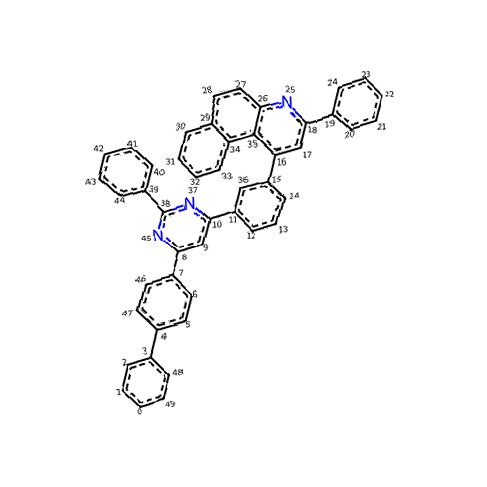 c1ccc(-c2ccc(-c3cc(-c4cccc(-c5cc(-c6ccccc6)nc6ccc7ccccc7c56)c4)nc(-c4ccccc4)n3)cc2)cc1